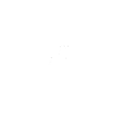 C=C(C)C(Cl)C(=O)O